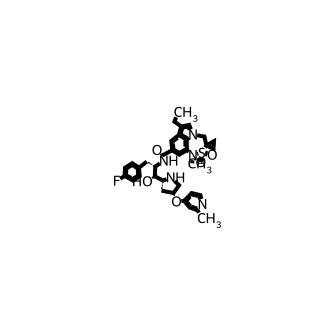 CCc1cn2c3c(cc(C(=O)N[C@@H](Cc4ccc(F)cc4)[C@H](O)[C@H]4C[C@@H](Oc5ccnc(C)c5)CN4)cc13)N(C)S(=O)(=O)C1(CC1)C2